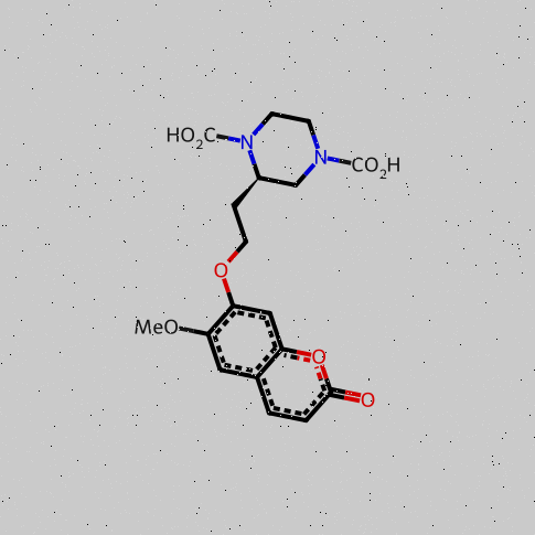 COc1cc2ccc(=O)oc2cc1OCC[C@@H]1CN(C(=O)O)CCN1C(=O)O